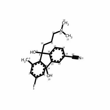 Cc1cc(F)ccc1C(O)(CCCN(C)C)c1ccc(C#N)cc1CO